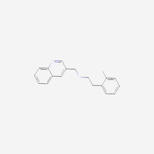 O[C@H](CNCc1cnc2ccccc2c1)c1ccccc1I